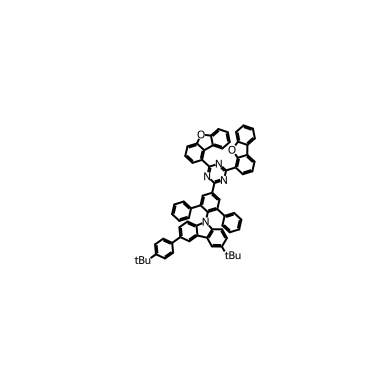 CC(C)(C)c1ccc(-c2ccc3c(c2)c2cc(C(C)(C)C)ccc2n3-c2c(-c3ccccc3)cc(-c3nc(-c4cccc5c4oc4ccccc45)nc(-c4cccc5oc6ccccc6c45)n3)cc2-c2ccccc2)cc1